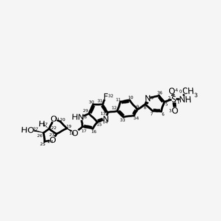 CNS(=O)(=O)c1ccc(-c2ccc(-c3nc4cc(O[C@@H]5CO[C@H]6C5OC[C@H]6O)[nH]c4cc3F)cc2)nc1